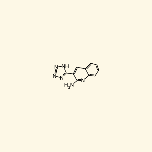 Nc1nc2ccccc2cc1-c1nnn[nH]1